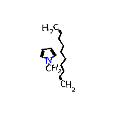 C=CCCCCCCC=C.Cn1cccc1